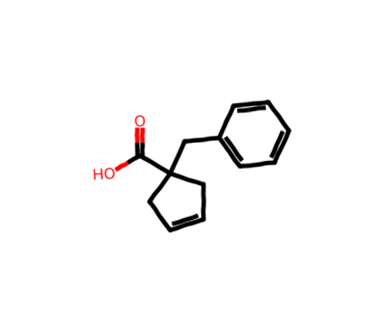 O=C(O)C1(Cc2ccccc2)CC=CC1